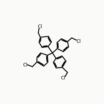 ClCc1ccc(C(c2ccc(CCl)cc2)(c2ccc(CCl)cc2)c2ccc(CCl)cc2)cc1